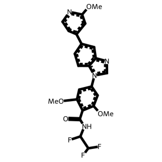 COc1cc(-c2ccc3c(c2)ncn3-c2cc(OC)c(C(=O)NC(F)C(F)F)c(OC)c2)ccn1